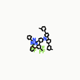 Cc1cccc(-c2ccc3c4ccc(-c5cccc(C)c5)cc4n(-c4ccc(-c5nc(-c6ccccc6)nc(-c6ccccc6)n5)c(-c5cc(C(F)(F)F)cc(C(F)(F)F)c5)c4)c3c2)c1